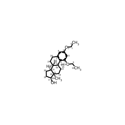 CCOc1cc2c(c(OCC)c1)[C@H]1CC[C@]3(C)[C@@H](O)CC[C@H]3[C@@H]1CC2